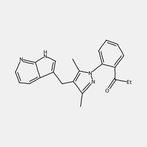 CCC(=O)c1ccccc1-n1nc(C)c(Cc2c[nH]c3ncccc23)c1C